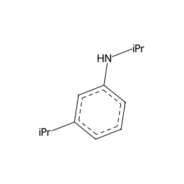 CC(C)Nc1cccc(C(C)C)c1